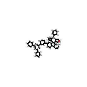 C1=CC2=C(NC1)C1(c3cc(-c4cccc(-c5nc(-c6ccccc6)cc(-c6ccccc6)n5)c4)ccc32)c2ccccc2N(c2ccccc2)c2ccccc21